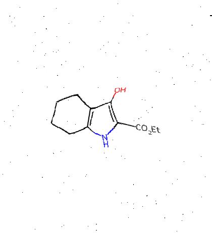 CCOC(=O)c1[nH]c2c(c1O)CCCC2